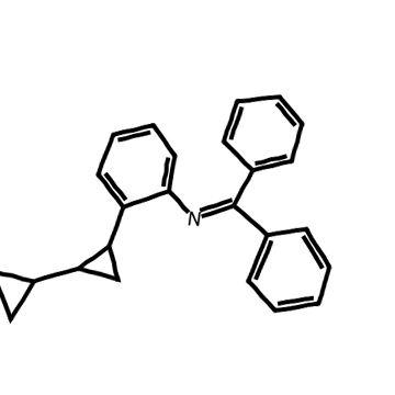 c1ccc(C(=Nc2ccccc2C2CC2C2CC2)c2ccccc2)cc1